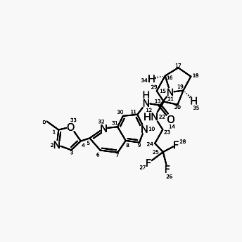 Cc1ncc(-c2ccc3cnc(NC(=O)N4[C@@H]5CC[C@H]4CC(NCCC(F)(F)F)C5)cc3n2)o1